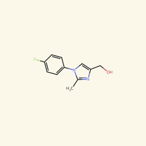 Cc1nc(CO)cn1-c1ccc(F)cc1